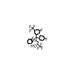 OC(CN[C@](Cc1ccccc1)(c1ccc(F)cc1)c1cc(F)cc(C(F)(F)F)c1)C(F)(F)F